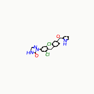 O=C(c1ccc(Cc2c(Cl)cc(N3N=CCNC3=O)cc2Cl)cc1)c1ccc[nH]1